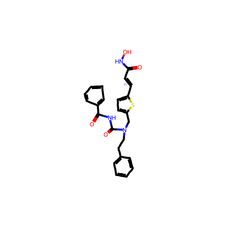 O=C(/C=C/c1ccc(CN(CCc2ccccc2)C(=O)NC(=O)c2ccccc2)s1)NO